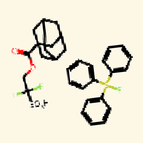 FS(c1ccccc1)(c1ccccc1)c1ccccc1.O=C(OCC(F)(F)S(=O)(=O)O)C12CC3CC(CC(C3)C1)C2